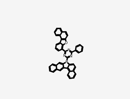 c1ccc(-c2nc(-c3cccc4c3oc3ccc5ccccc5c34)nc(-n3c4cc5ccccc5cc4c4c5ccccc5ccc43)n2)cc1